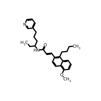 CCCCc1c(/C=C/C(=O)NC(CC)CCCc2cccnc2)ccc2c(OC)cccc12